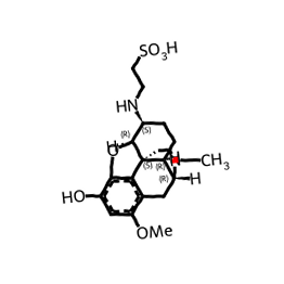 COc1cc(O)c2c3c1C[C@@H]1[C@@H]4CC[C@H](NCCS(=O)(=O)O)[C@H](O2)[C@]34CCN1C